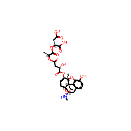 CC[C@]12c3c4ccc(O)c3O[C@H]1C(OC(=O)[C@@H](O)CC(=O)O[C@@H](C)C(=O)O[C@@H](CC(=O)O)C(=O)O)=CC[C@@]2(O)[C@H](NC)C4